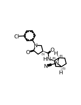 N#CN1[C@H]2CC[C@@H]1[C@H](NC(=O)[C@H]1CC(=O)N(c3cccc(Cl)c3)C1)C2